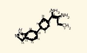 C=C/C(N)=C(/N)c1ccc(-c2ccc3cn[nH]c3c2)cc1